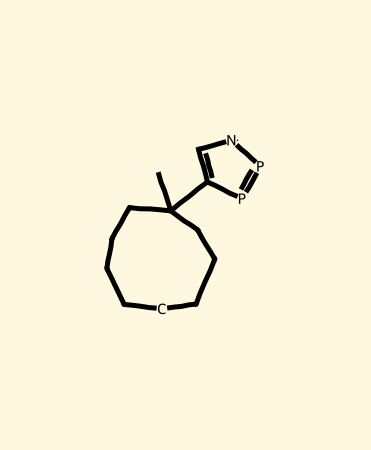 CC1(C2=C[N]P=P2)CCCCCCCC1